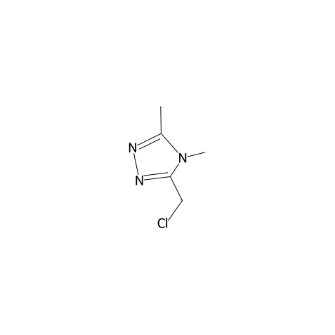 Cc1nnc(CCl)n1C